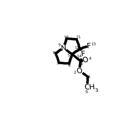 CCOC(=O)C12CCCN1CCC2(F)F